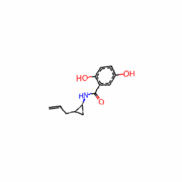 C=CCC1C[C@@H]1NC(=O)c1cc(O)ccc1O